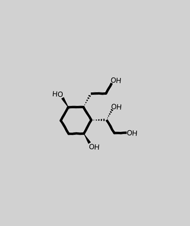 OCC[C@@H]1[C@H]([C@H](O)CO)[C@@H](O)CC[C@H]1O